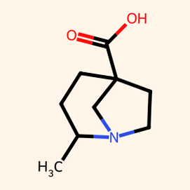 CC1CCC2(C(=O)O)CCN1C2